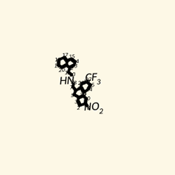 O=[N+]([O-])c1ccc(CC(CCNCCc2cccc3ccccc23)c2cccc(C(F)(F)F)c2)cc1